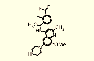 COc1cc(N2CCNCC2)cc2c(NC(C)c3cccc(C(F)F)c3F)cc(C)nc12